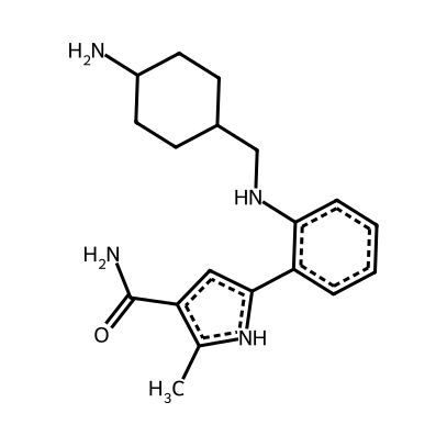 Cc1[nH]c(-c2ccccc2NCC2CCC(N)CC2)cc1C(N)=O